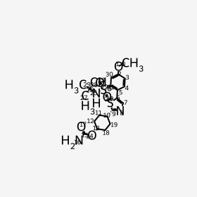 COc1ccc(-c2cnc([C@H]3CC[C@H](OC(N)=O)CC3)s2)c(S(=O)(=O)NC(C)(C)C)c1